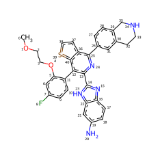 COCCOc1cc(F)ccc1-c1c(-c2nc3ccc(N)cc3[nH]2)nc(-c2ccc3c(c2)CCNC3)c2ccsc12